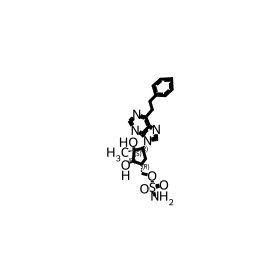 C[C@@]1(O)[C@H](O)[C@@H](COS(N)(=O)=O)C[C@H]1n1cnc2c(CCc3ccccc3)ncnc21